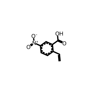 C=Cc1ccc([N+](=O)[O-])cc1C(=O)O